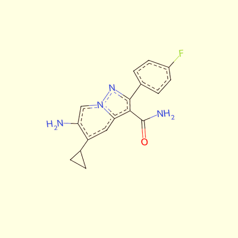 NC(=O)c1c(-c2ccc(F)cc2)nn2cc(N)c(C3CC3)cc12